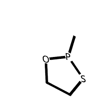 CP1OCCS1